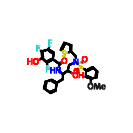 COc1cccc(S(=O)(=O)N(Cc2cccs2)CC(O)C(Cc2ccccc2)NC(=O)c2cc(F)c(F)c(O)c2F)c1